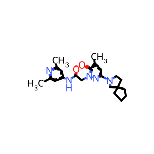 Cc1cc(NC(=O)Cn2nc(N3CCC4(CCCC4)C3)cc(C)c2=O)cc(C)n1